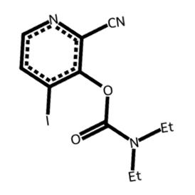 CCN(CC)C(=O)Oc1c(I)ccnc1C#N